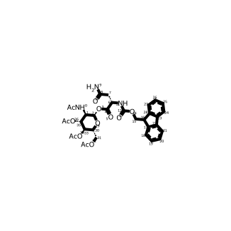 CC(=O)N[C@H]1[C@H](OC(=O)[C@H](CC(N)=O)NC(=O)OCC2c3ccccc3-c3ccccc32)O[C@H](COC(C)=O)[C@@H](OC(C)=O)[C@@H]1OC(C)=O